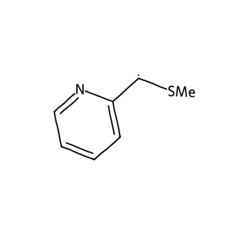 CS[CH]c1ccccn1